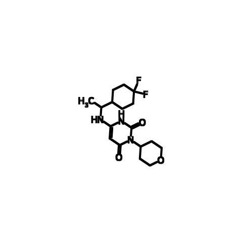 CC(Nc1cc(=O)n(C2CCOCC2)c(=O)[nH]1)C1CCC(F)(F)CC1